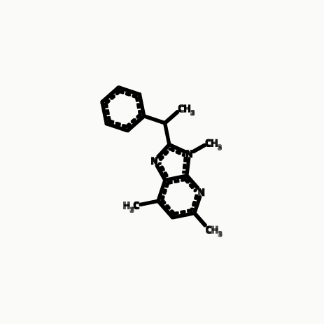 Cc1cc(C)c2nc(C(C)c3ccccc3)n(C)c2n1